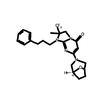 CC1(C(F)(F)F)Cn2c(nc(N3CC4CC[C@@H](C3)O4)cc2=O)N1CCCc1ccccc1